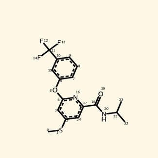 CSc1cc(Oc2cccc(C(F)(F)F)c2)nc(C(=O)NC(C)C)c1